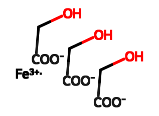 O=C([O-])CO.O=C([O-])CO.O=C([O-])CO.[Fe+3]